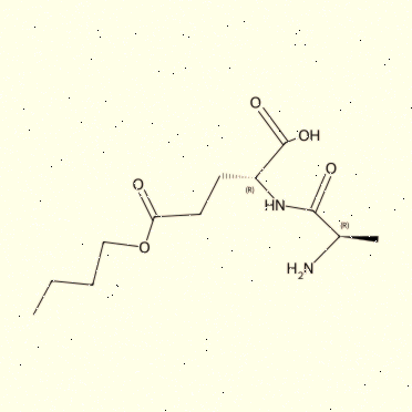 CCCCOC(=O)CC[C@@H](NC(=O)[C@@H](C)N)C(=O)O